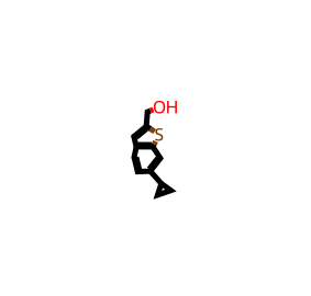 OCc1cc2ccc(C3CC3)cc2s1